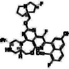 C#Cc1c(F)ccc2cc(O)cc(-c3nc4c5c(nc(OC[C@@]67CCCN6C[C@H](F)C7)nc5c3F)N3C[C@@H](CCC)NC[C@H]3CO4)c12